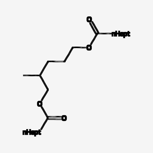 CCCCCCCC(=O)OCCCC(C)COC(=O)CCCCCCC